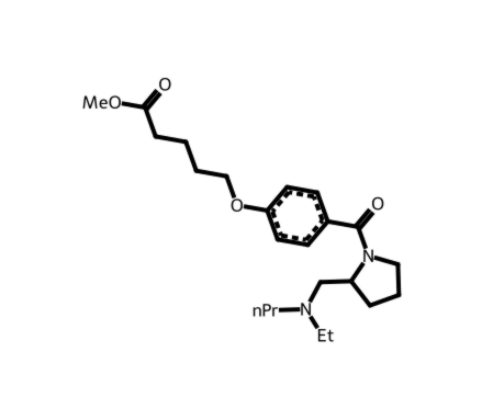 CCCN(CC)CC1CCCN1C(=O)c1ccc(OCCCCC(=O)OC)cc1